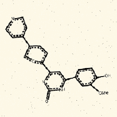 COc1cc(-c2cc(-c3ccc(-c4ccncc4)cc3)nc(=O)[nH]2)ccc1O